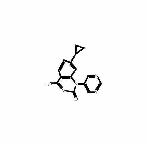 Nc1nc(=O)n(-c2cncnc2)c2cc(C3CC3)ccc12